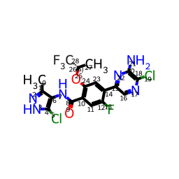 Cc1n[nH]c(Cl)c1NC(=O)c1cc(F)c(-c2cnc(Cl)c(N)n2)cc1O[C@@H](C)C(F)(F)F